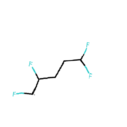 F[CH]C(F)CCC(F)F